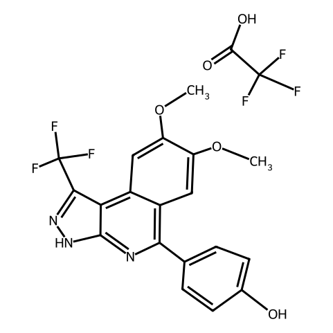 COc1cc2c(-c3ccc(O)cc3)nc3[nH]nc(C(F)(F)F)c3c2cc1OC.O=C(O)C(F)(F)F